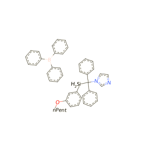 CCCCCOc1cccc([SiH2]C(c2ccccc2)(c2ccccc2)n2ccnc2)c1.c1ccc(B(c2ccccc2)c2ccccc2)cc1